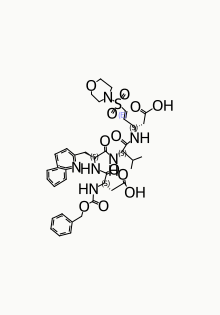 CC(C)[C@H](NC(=O)[C@H](Cc1ccc2ccccc2n1)NC(=O)[C@H](CC(=O)O)NC(=O)OCc1ccccc1)C(=O)N[C@H](/C=C/S(=O)(=O)N1CCOCC1)CC(=O)O